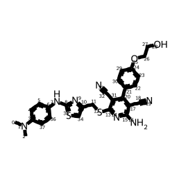 CN(C)c1ccc(Nc2nc(CSc3nc(N)c(C#N)c(-c4ccc(OCCO)cc4)c3C#N)cs2)cc1